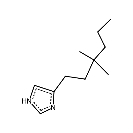 CCCC(C)(C)CCc1c[nH]cn1